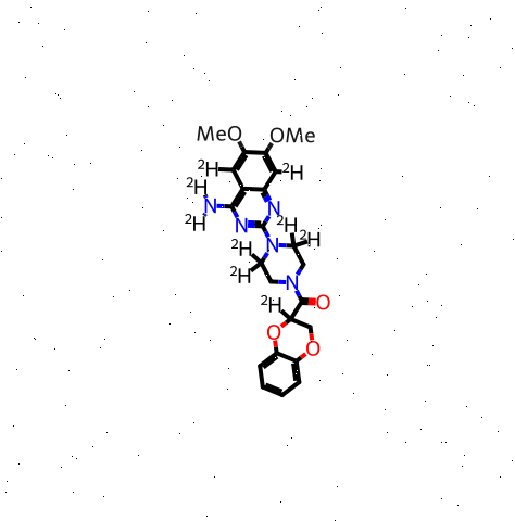 [2H]c1c(OC)c(OC)c([2H])c2c(N([2H])[2H])nc(N3C([2H])([2H])CN(C(=O)C4([2H])COc5ccccc5O4)CC3([2H])[2H])nc12